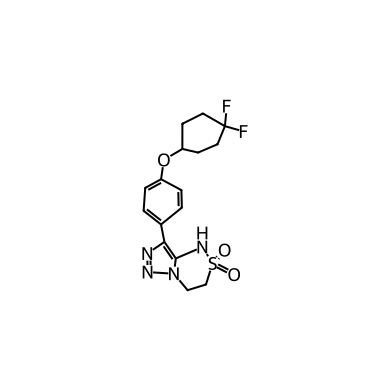 O=S1(=O)CCn2nnc(-c3ccc(OC4CCC(F)(F)CC4)cc3)c2N1